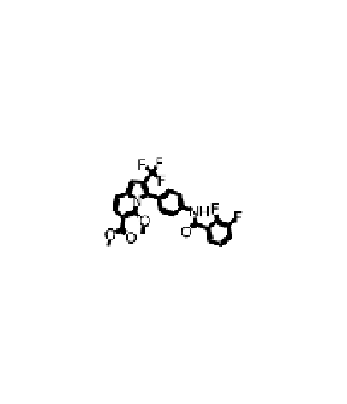 COC(=O)c1ccc2cc(C(F)(F)F)c(-c3ccc(NC(=O)c4cccc(F)c4F)cc3)n2c1OC